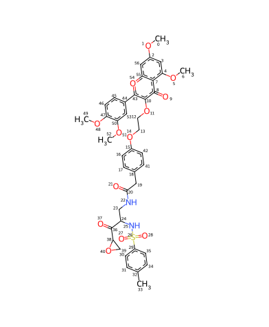 COc1cc(OC)c2c(=O)c(OCCOc3ccc(CC(=O)NCC(NS(=O)(=O)c4ccc(C)cc4)C(=O)C4CO4)cc3)c(-c3ccc(OC)c(OC)c3)oc2c1